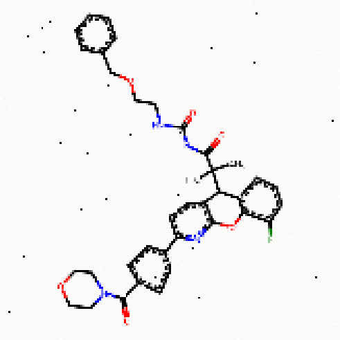 CC(C)(C(=O)NC(=O)NCCOCc1ccccc1)C1c2ccc(-c3ccc(C(=O)N4CCOCC4)cc3)nc2Oc2c(F)cccc21